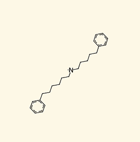 c1ccc(CCCCCC[N]CCCCCc2ccccc2)cc1